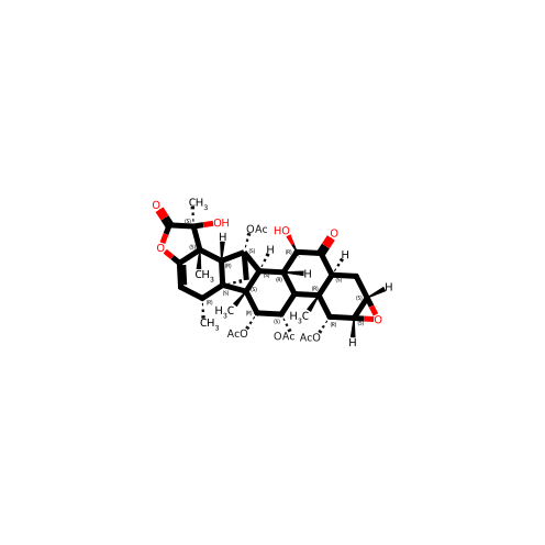 CC(=O)O[C@H]1C2[C@H]([C@@H]3[C@@]4(OC(C)=O)C[C@@]5([C@H](C)C=C6OC(=O)[C@@](C)(O)[C@]6(C)[C@H]45)[C@@]3(C)[C@H]1OC(C)=O)[C@@H](O)C(=O)[C@H]1C[C@@H]3O[C@@H]3[C@H](OC(C)=O)[C@]21C